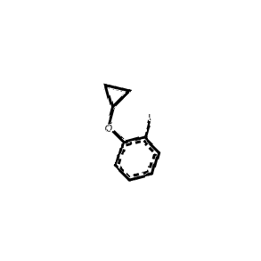 Ic1ccccc1OC1CC1